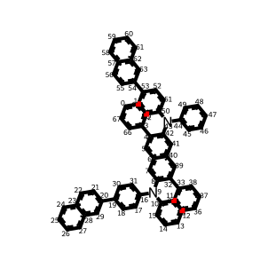 c1ccc(-c2cc3cc(N(c4ccccc4)c4ccc(-c5ccc6ccccc6c5)cc4)c(-c4ccccc4)cc3cc2N(c2ccccc2)c2ccc(-c3ccc4ccccc4c3)cc2)cc1